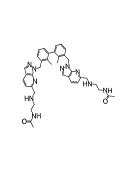 CC(=O)NCCNCc1ccc2cnn(Cc3cccc(-c4cccc(Cn5ncc6ccc(CNCCNC(C)=O)nc65)c4C)c3C)c2n1